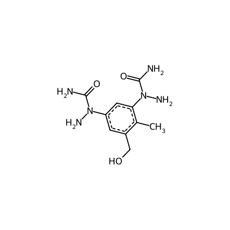 Cc1c(CO)cc(N(N)C(N)=O)cc1N(N)C(N)=O